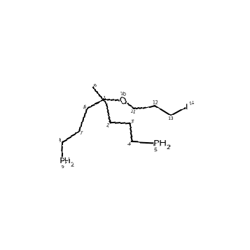 CC(CCCP)(CCCP)OCCCI